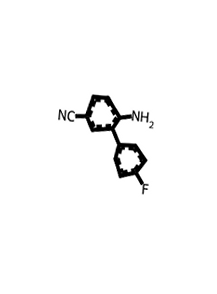 N#Cc1ccc(N)c(-c2ccc(F)cc2)c1